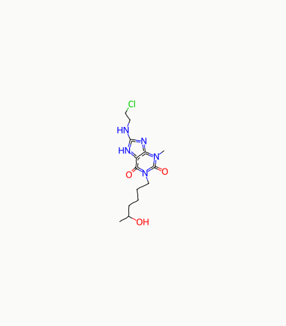 CC(O)CCCCn1c(=O)c2[nH]c(NCCCl)nc2n(C)c1=O